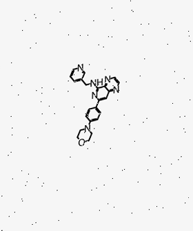 c1cncc(CNc2nc(-c3ccc(N4CCOCC4)cc3)cc3nccnc23)c1